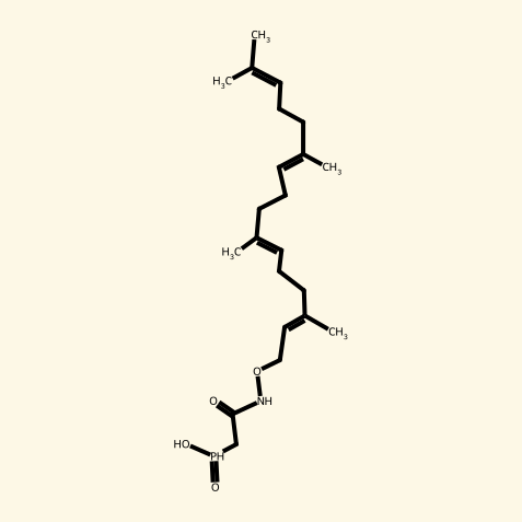 CC(C)=CCCC(C)=CCCC(C)=CCCC(C)=CCONC(=O)C[PH](=O)O